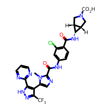 Cn1c(-c2c(C(F)(F)F)n[nH]c2-c2ncccn2)cnc1C(=O)Nc1ccc(C(=O)N[C@@H]2[C@@H]3CN(C(=O)O)C[C@@H]32)c(Cl)c1